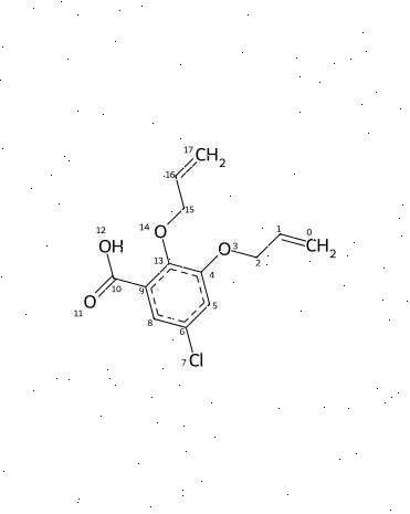 C=CCOc1cc(Cl)cc(C(=O)O)c1OCC=C